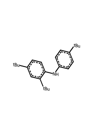 CC(C)(C)c1ccc(Nc2ccc(C(C)(C)C)cc2C(C)(C)C)cc1